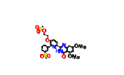 COc1cc(OC)c2c(=O)[nH]c(-c3ccc(OCCOS(C)(=O)=O)c(-c4cccc(S(C)(=O)=O)c4)n3)nc2c1